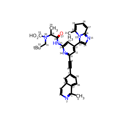 Cc1nccc2cc(C#Cc3cc(-c4cnc5cccc(C)n45)cc(NC(=O)C(C)N(CC(C)(C)C)C(=O)O)n3)ccc12